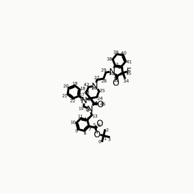 CC(C)(C)OC(=O)c1ccccc1CN1CN(c2ccccc2)C2(CCN(CCCN3C(=O)C(C)(F)C4=C3CCC=C4)CC2)C1=O